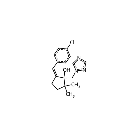 CC1(C)CC/C(=C/c2ccc(Cl)cc2)[C@]1(O)Cn1cncn1